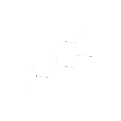 NC(=O)Cc1ccc(Br)c(F)c1